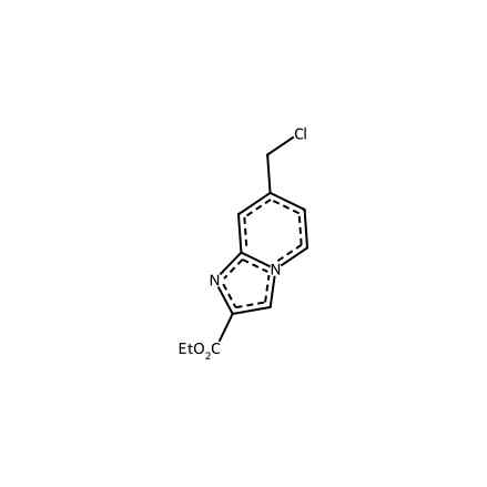 CCOC(=O)c1cn2ccc(CCl)cc2n1